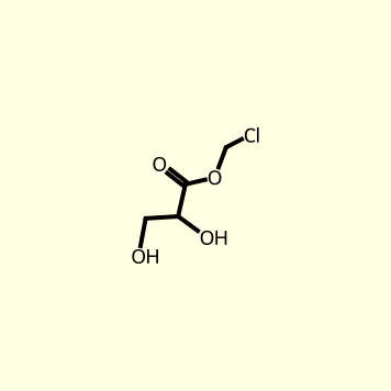 O=C(OCCl)C(O)CO